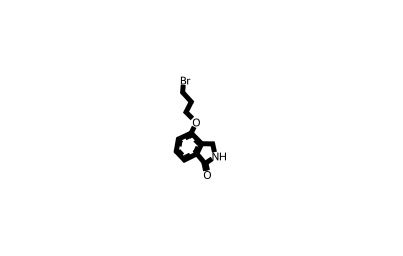 O=C1NCc2c(OCCCBr)cccc21